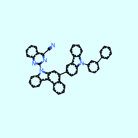 N#Cc1nc(-n2c3ccccc3c3c4ccccc4c(-c4ccc5c(c4)c4ccccc4n5-c4cccc(-c5ccccc5)c4)cc32)nc2ccccc12